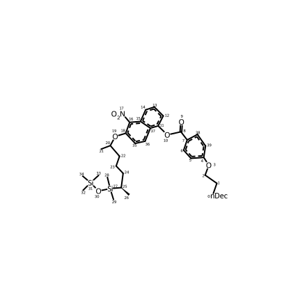 CCCCCCCCCCCCOc1ccc(C(=O)Oc2cccc3c([N+](=O)[O-])c(OC(C)CCC[C@@H](C)[Si](C)(C)O[Si](C)(C)C)ccc23)cc1